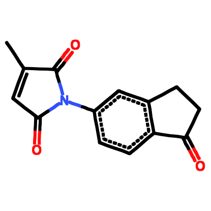 CC1=CC(=O)N(c2ccc3c(c2)CCC3=O)C1=O